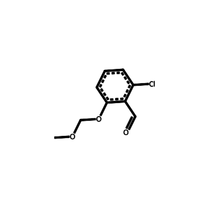 COCOc1cccc(Cl)c1C=O